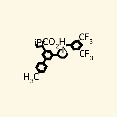 Cc1ccc(-c2cc(C3CCCN(Cc4cc(C(F)(F)F)cc(C(F)(F)F)c4)C3)cc(C(CC(C)C)C(=O)O)c2)cc1